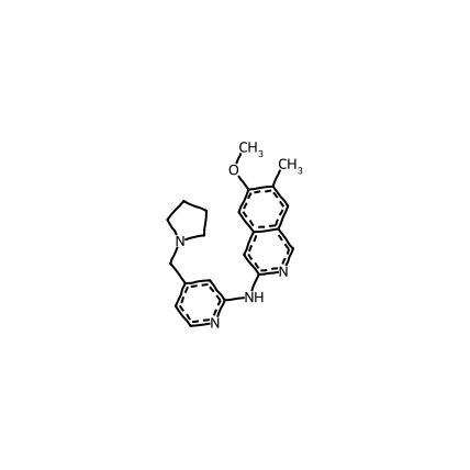 COc1cc2cc(Nc3cc(CN4CCCC4)ccn3)ncc2cc1C